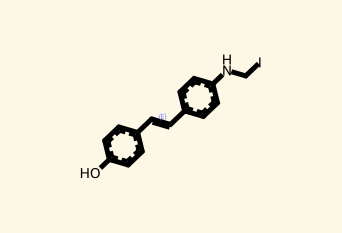 Oc1ccc(/C=C/c2ccc(NCI)cc2)cc1